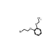 FC(F)(F)COc1ccccc1OCCBr